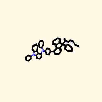 C=C/C=C\C=C(/C)C1(c2ccccc2)c2ccccc2-c2c(-c3ccc(N(c4ccccc4)c4cccc5c4c4ccccc4n5-c4ccccc4)cc3)cccc21